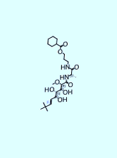 CO[C@@H](C(=O)N[C@@H](C)C(=O)NCCCOC(=O)C1CCCCC1)[C@H](O)[C@@H](O)[C@H](O)/C=C/C(C)(C)C